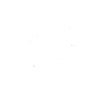 COc1cc2nncc(C(C#N)C3=NC(C)(C)CN3C(C)C)c2cc1OC